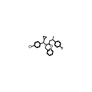 C[C@H](CC(=O)N(Cc1ccccn1)[C@@H](c1ccc(Cl)cc1)C1CC1)c1ccc(F)cc1